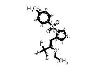 CCOC(=Cc1cncn1S(=O)(=O)c1ccc(C)cc1)C(F)(F)F